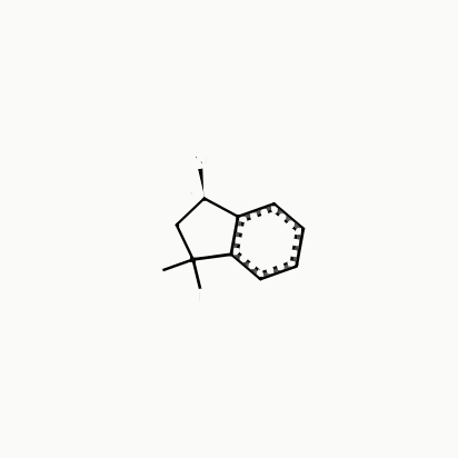 N[C@@H]1CC(F)(F)c2ccccc21